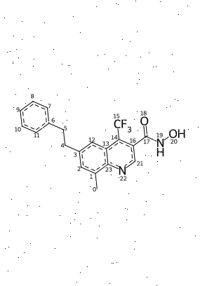 Cc1cc(CCc2ccccc2)cc2c(C(F)(F)F)c(C(=O)NO)cnc12